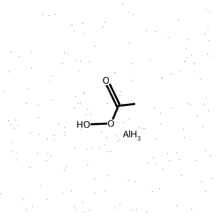 CC(=O)OO.[AlH3]